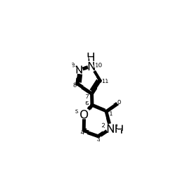 CC1NCCOC1c1cn[nH]c1